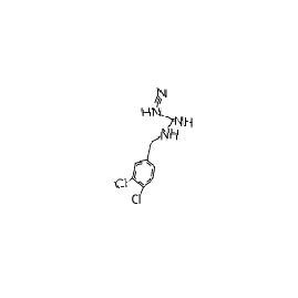 N#CNC(=N)NCc1ccc(Cl)c(Cl)c1